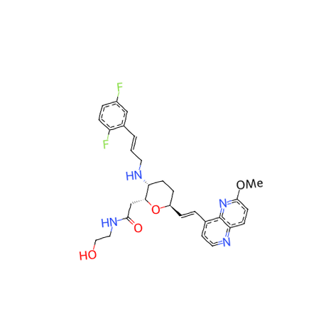 COc1ccc2nccc(C=C[C@@H]3CC[C@@H](NCC=Cc4cc(F)ccc4F)[C@@H](CC(=O)NCCO)O3)c2n1